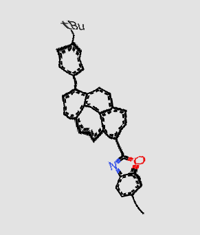 Cc1ccc2nc(-c3ccc4ccc5c(-c6ccc(C(C)(C)C)cc6)ccc6ccc3c4c65)oc2c1